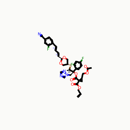 C=CCOC(=O)C1(C(=O)O[C@@](Cn2cncn2)(c2ccc(F)cc2F)[C@@H](C)S[C@H]2CO[C@H](/C=C/C=C/c3ccc(C#N)cc3F)OC2)CC1COC(C)=O